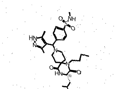 CCCCN1C(=O)[C@H](CC(C)C)NC(=O)C12CCN(C(c1ccc(S(=O)(=O)NC)cc1)c1c(C)n[nH]c1C)CC2